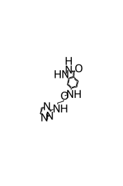 O=c1[nH][nH]c2cc(NOCCNc3nccnn3)ccc12